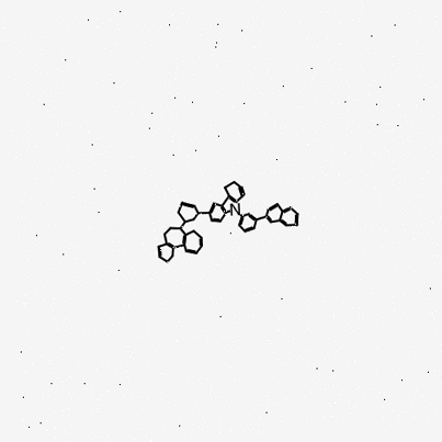 C1#Cc2c(c3cc(C4C=CCC(C5CCC6=C(CCC=C6)C6=C5CC=CC=C6)C4)ccc3n2-c2cccc(-c3ccc4ccccc4c3)c2)CC1